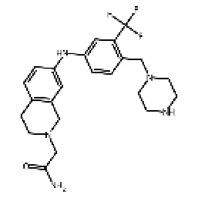 NC(=O)CN1CCc2ccc(Nc3ccc(CN4CCNCC4)c(C(F)(F)F)c3)cc2C1